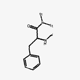 CCN(CC)C(=O)C(Cc1ccccc1)NI